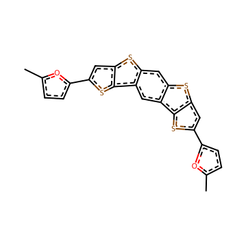 Cc1ccc(-c2cc3sc4cc5sc6cc(-c7ccc(C)o7)sc6c5cc4c3s2)o1